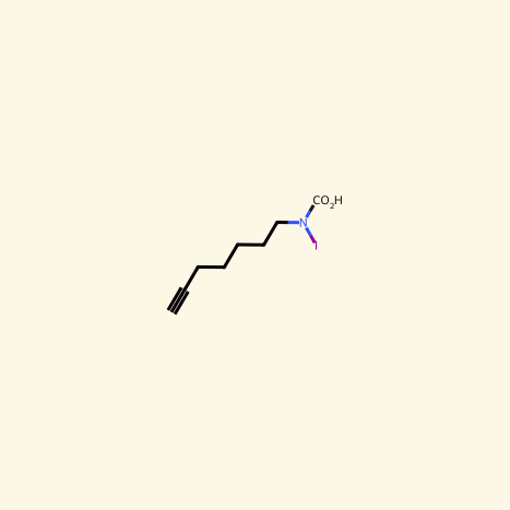 C#CCCCCCN(I)C(=O)O